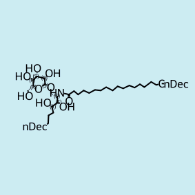 CCCCCCCCCCCCCCCCCCCCCCCCCCCC(=O)N[C@@H](CO[C@H]1O[C@H](CO)[C@H](O)[C@H](O)[C@H]1O)[C@H](O)[C@H](O)CCCCCCCCCCCCC